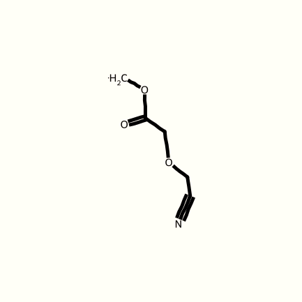 [CH2]OC(=O)COCC#N